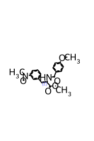 COC(=O)/C(=C/c1cccc([N+](C)=O)c1)NC(=O)c1ccc(OC)cc1